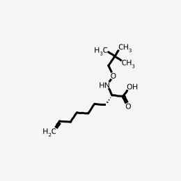 C=CCCCCC[C@H](NOCC(C)(C)C)C(=O)O